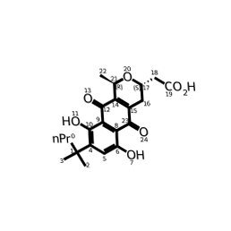 CCCC(C)(C)c1cc(O)c2c(c1O)C(=O)C1=C(C[C@@H](CC(=O)O)O[C@@H]1C)C2=O